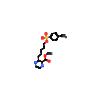 Cc1ccc(S(=O)(=O)OCCCCCc2nccnc2C(=O)OC(C)(C)C)cc1